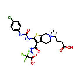 C[N+]1(CCCC(=O)O)CCc2c(sc(NC(=O)Nc3ccc(Cl)cc3)c2C(N)=O)C1.O=C([O-])C(F)(F)F